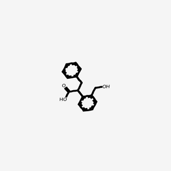 O=C(O)C(Cc1ccccc1)c1ccccc1CO